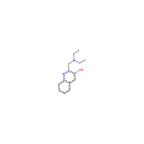 CCN(CC)Cc1nc2ccccc2cc1O